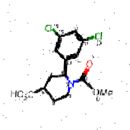 COC(=O)N1CCC(C(=O)O)CC1c1cc(Cl)cc(Cl)c1